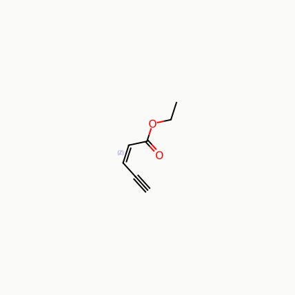 C#C/C=C\C(=O)OCC